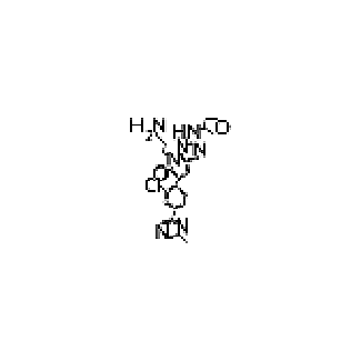 Cc1cncc(-c2ccc(-c3cc4cnc(N[C@H]5CCOC5)nc4n(CCCN)c3=O)c(Cl)c2)n1